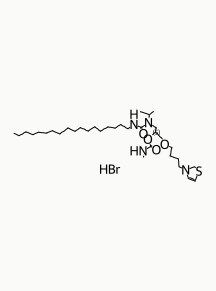 Br.CCCCCCCCCCCCCCCCCCNC(=O)N(C[C@@H](COCCCCN1C=CSC1)OC(=O)NC)C(C)C